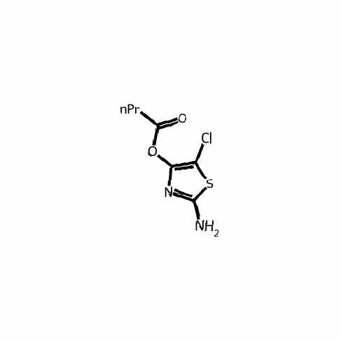 CCCC(=O)Oc1nc(N)sc1Cl